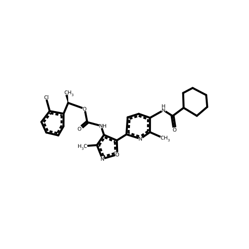 Cc1nc(-c2onc(C)c2NC(=O)O[C@H](C)c2ccccc2Cl)ccc1NC(=O)C1CCCCC1